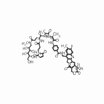 CC[C@@]1(O)C(=O)OCc2c1cc1n(c2=O)Cc2c-1nc1cc(F)c(C)cc1c2CNC(=O)c1ccc(NC(=O)[C@H](C)NC(=O)[C@H](C)NC(=O)[C@H](CCC(=O)N(C)C[C@H](O)[C@@H](O)[C@H](O)[C@H](O)CO)NC(=O)CCN2C(=O)C=CC2=O)cc1